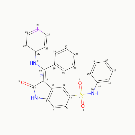 O=C1Nc2ccc(S(=O)(=O)Nc3ccccc3)cc2/C1=C(/NC1C=CI=CC1)c1ccccc1